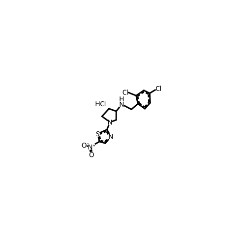 Cl.O=[N+]([O-])c1cnc(N2CCC(NCc3ccc(Cl)cc3Cl)C2)s1